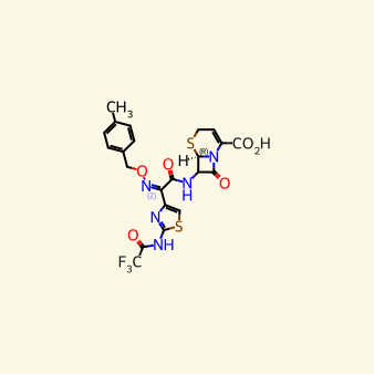 Cc1ccc(CO/N=C(\C(=O)NC2C(=O)N3C(C(=O)O)=CCS[C@H]23)c2csc(NC(=O)C(F)(F)F)n2)cc1